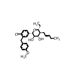 CC/C=C/C[C@H]1[C@H](O)[C@@H](O)[C@H](c2ccc(Cl)c(Cc3ccc(OC)cc3)c2)O[C@@H]1CC